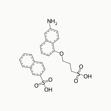 Nc1ccc2c(OCCCS(=O)(=O)O)cccc2c1.O=S(=O)(O)c1ccc2ccccc2c1